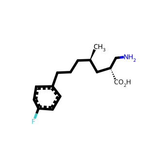 C[C@H](CCCc1ccc(F)cc1)C[C@H](CN)C(=O)O